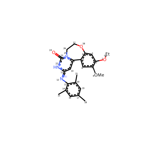 CCOc1cc2c(cc1OC)-c1c/c(=N\c3c(C)cc(C)cc3C)[nH]c(=O)n1CCO2